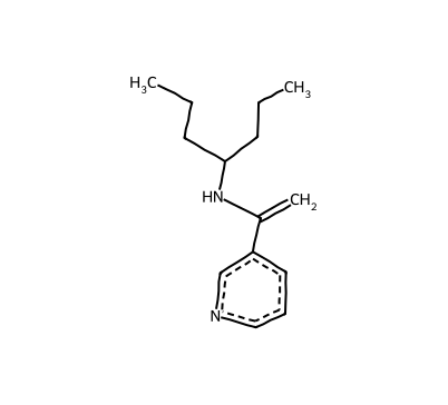 C=C(NC(CCC)CCC)c1cccnc1